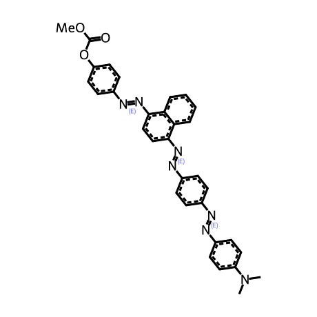 COC(=O)Oc1ccc(/N=N/c2ccc(/N=N/c3ccc(/N=N/c4ccc(N(C)C)cc4)cc3)c3ccccc23)cc1